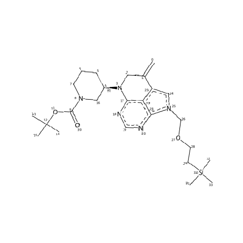 C=C1CN([C@@H]2CCCN(C(=O)OC(C)(C)C)C2)c2ncnc3c2c1cn3COCC[Si](C)(C)C